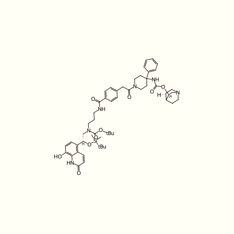 CC(C)(C)OC(=O)N(CCCNC(=O)c1ccc(CC(=O)N2CCC(NC(=O)O[C@H]3CN4CCC3CC4)(c3ccccc3)CC2)cc1)C[C@H](O[Si](C)(C)C(C)(C)C)c1ccc(O)c2[nH]c(=O)ccc12